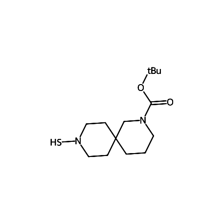 CC(C)(C)OC(=O)N1CCCC2(CCN(S)CC2)C1